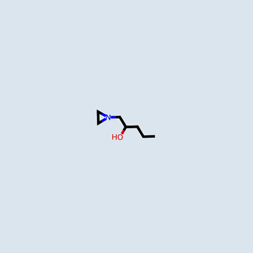 CCCC(O)CN1CC1